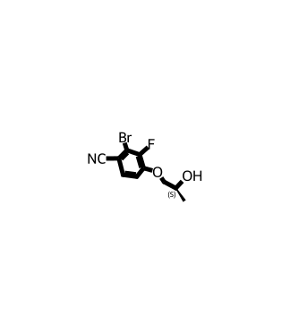 C[C@H](O)COc1ccc(C#N)c(Br)c1F